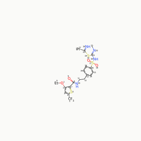 CCOc1cc(C(F)(F)F)sc1C(=O)NCCc1ccc(S(=O)(=O)N/C(=N/C)SC(=N)C(C)C)cc1